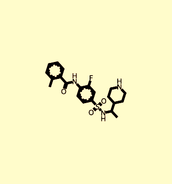 Cc1ccccc1C(=O)Nc1ccc(S(=O)(=O)NC(C)C2CCNCC2)cc1F